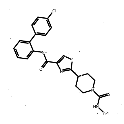 CCCNC(=S)N1CCC(c2nc(C(=O)Nc3ccccc3-c3ccc(Cl)cc3)cs2)CC1